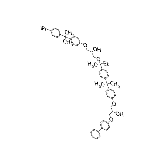 CCC(C)(OCC(O)COc1ccc(C(C)(C)c2ccc(C(C)C)cc2)cc1)c1ccc(C(C)(C)c2ccc(OCC(O)COc3ccc(-c4ccccc4)cc3)cc2)cc1